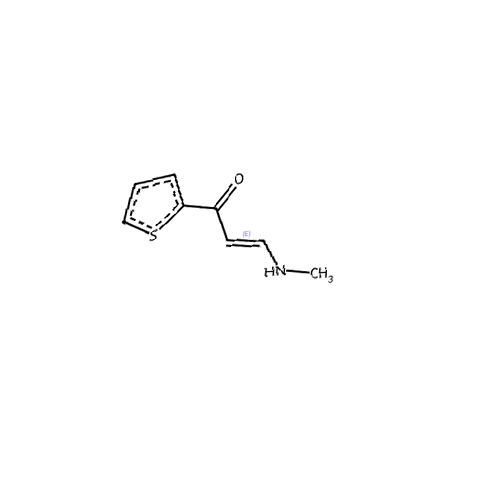 CN/C=C/C(=O)c1cccs1